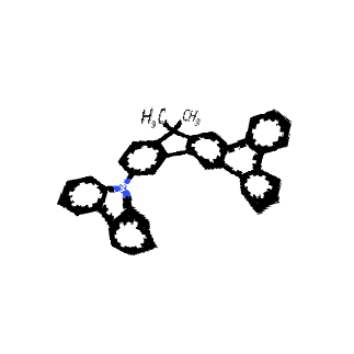 CC1(C)c2ccc(-n3c4ccccc4c4ccccc43)cc2-c2cc3c4ccccc4c4ccccc4c3cc21